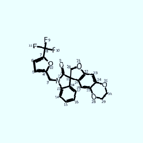 O=C1N(Cc2ccc(C(F)(F)F)o2)c2ccccc2C12COc1cc3c(cc12)OCCO3